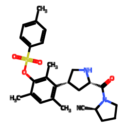 Cc1ccc(S(=O)(=O)Oc2c(C)cc(C)c([C@@H]3CN[C@H](C(=O)N4CCC[C@H]4C#N)C3)c2C)cc1